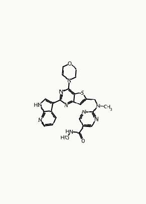 CN(Cc1cc2nc(-c3c[nH]c4ncccc34)nc(N3CCOCC3)c2s1)c1ncc(C(=O)NO)cn1